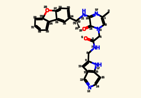 Cc1cn(CC(=O)NCc2cc3cnccc3[nH]2)c(=O)c(N[C@H](C)c2ccc3oc4ccccc4c3c2)n1